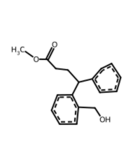 COC(=O)CCC(c1ccccc1)c1ccccc1CO